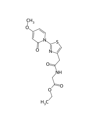 CCOC(=O)CNC(=O)Cc1csc(-n2ccc(OC)cc2=O)n1